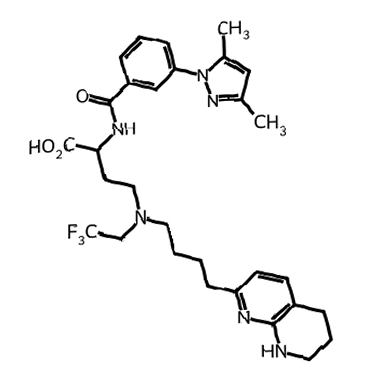 Cc1cc(C)n(-c2cccc(C(=O)NC(CCN(CCCCc3ccc4c(n3)NCCC4)CC(F)(F)F)C(=O)O)c2)n1